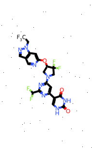 O=c1[nH]cc(-c2cc(N3CC(Oc4cc5c(cn4)cnn5CC(F)(F)F)C(F)(F)C3)nc(C(F)F)n2)c(=O)[nH]1